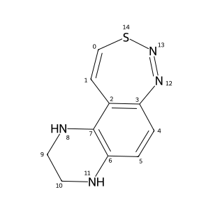 C1=Cc2c(ccc3c2NCCN3)N=NS1